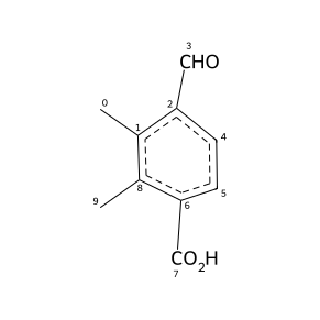 Cc1c(C=O)ccc(C(=O)O)c1C